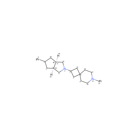 CC(C)C1C[C@@H]2CN(C3CC4(CCN(C(C)C)CC4)C3)C[C@@H]2C1